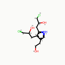 OCCc1c[nH]c(CC(O)CCl)c1CC(O)CCl